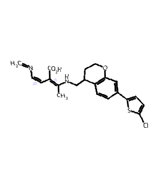 C=N/C=C\C(C(=O)O)=C(/C)NCC1CCOc2cc(-c3ccc(Cl)s3)ccc21